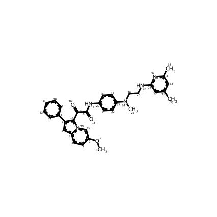 COc1ccc2cc(-c3ccccc3)c(C(=O)C(=O)Nc3ccc(N(C)CCNc4cc(C)cc(C)n4)cc3)n2c1